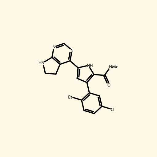 CCc1ccc(Cl)cc1-c1cc(-c2ncnc3c2CCN3)[nH]c1C(=O)NC